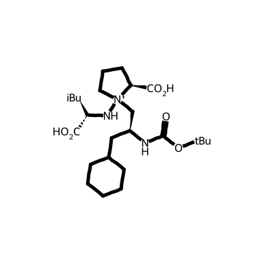 CC[C@H](C)[C@H](N[N+]1(C[C@H](CC2CCCCC2)NC(=O)OC(C)(C)C)CCC[C@H]1C(=O)O)C(=O)O